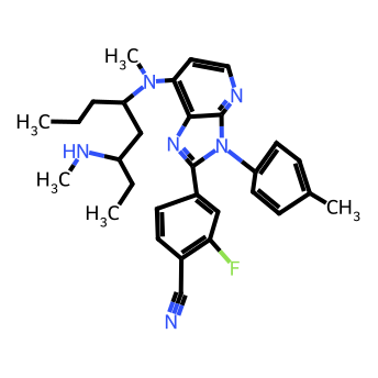 CCCC(CC(CC)NC)N(C)c1ccnc2c1nc(-c1ccc(C#N)c(F)c1)n2-c1ccc(C)cc1